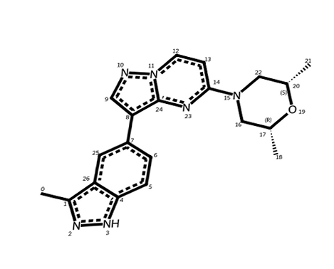 Cc1n[nH]c2ccc(-c3cnn4ccc(N5C[C@@H](C)O[C@@H](C)C5)nc34)cc12